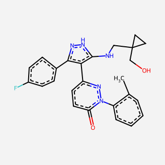 Cc1ccccc1-n1nc(-c2c(-c3ccc(F)cc3)n[nH]c2NCC2(CO)CC2)ccc1=O